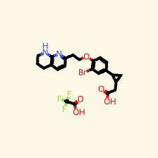 O=C(O)C(F)(F)F.O=C(O)CC1CC1c1ccc(OCCc2ccc3c(n2)NCCC3)c(Br)c1